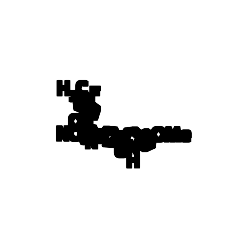 COc1ccc2c(c1)CCN(C1CCN(c3cc(C(=O)N4CCc5c4ccc(C)c5F)c(C#N)cn3)CC1)C(=O)N2